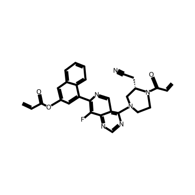 C=CC(=O)Oc1cc(-c2ncc3c(N4CCN(C(=O)C=C)[C@@H](CC#N)C4)ncnc3c2F)c2ccccc2c1